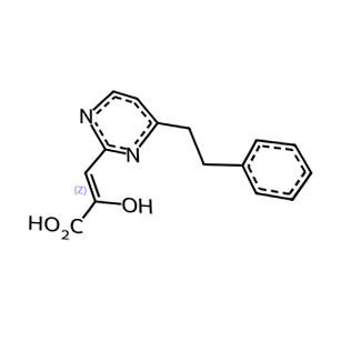 O=C(O)/C(O)=C/c1nccc(CCc2ccccc2)n1